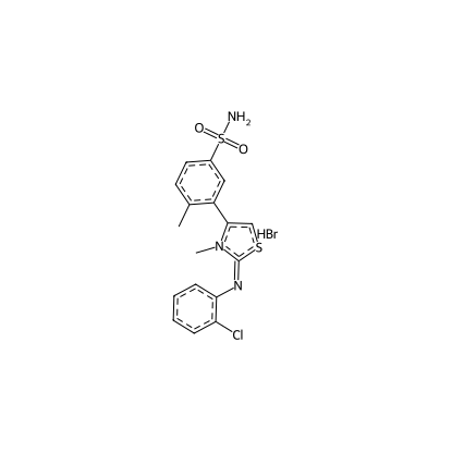 Br.Cc1ccc(S(N)(=O)=O)cc1-c1csc(=Nc2ccccc2Cl)n1C